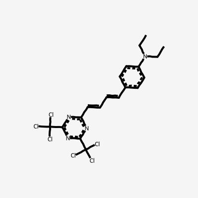 CCN(CC)c1ccc(C=CC=Cc2nc(C(Cl)(Cl)Cl)nc(C(Cl)(Cl)Cl)n2)cc1